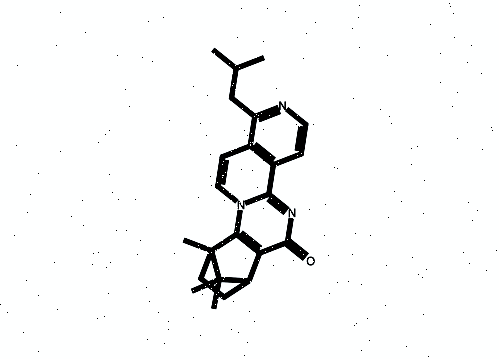 CC(C)Cc1nccc2c1ccn1c3c(c(=O)nc21)C1CCC3(C)C1(C)C